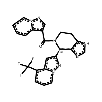 O=C(c1cnn2ccccc12)N1CCc2[nH]cnc2[C@H]1c1cc2c(C(F)(F)F)cccn2n1